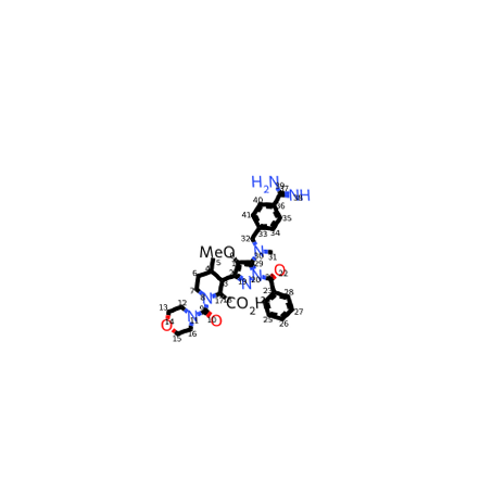 COc1c(C2C(C)CCN(C(=O)N3CCOCC3)C2C(=O)O)nn(C(=O)c2ccccc2)c1N(C)Cc1ccc(C(=N)N)cc1